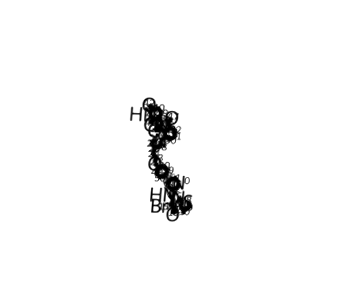 CN1C[C@H](Nc2nc3sccn3c(=O)c2Br)C[C@H](c2ccc(OCCC3CCN(c4cccc5c4C(=O)N(C4CCC(=O)NC4=O)C5=O)C3)cc2)C1